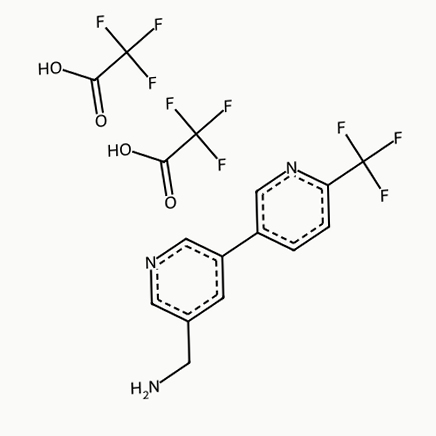 NCc1cncc(-c2ccc(C(F)(F)F)nc2)c1.O=C(O)C(F)(F)F.O=C(O)C(F)(F)F